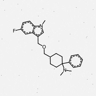 CN(C)C1(c2ccccc2)CCC(COCc2cn(C)c3ccc(F)cc23)CC1